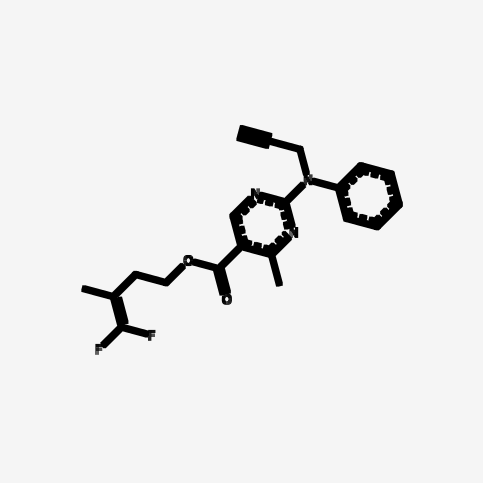 C#CCN(c1ccccc1)c1ncc(C(=O)OCCC(C)=C(F)F)c(C)n1